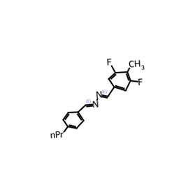 CCCc1ccc(/C=N/N=C/c2cc(F)c(C)c(F)c2)cc1